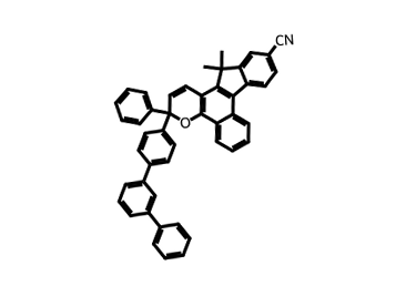 CC1(C)c2cc(C#N)ccc2-c2c1c1c(c3ccccc23)OC(c2ccccc2)(c2ccc(-c3cccc(-c4ccccc4)c3)cc2)C=C1